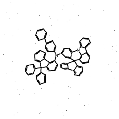 c1ccc(-c2ccc(N(c3ccc4c(c3)C3(c5ccccc5-c5ccccc53)c3cccc5c6ccccc6n-4c35)c3cccc4c3-c3ccccc3C4(c3ccccc3)c3ccccc3)cc2)cc1